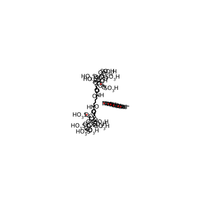 O=C(CCCCC(=O)Nc1ccc(S[C@@H]2O[C@H](COS(=O)(=O)O)[C@@H](O[C@H]3O[C@H](COS(=O)(=O)O)[C@@H](OS(=O)(=O)O)[C@H](OS(=O)(=O)O)[C@H]3OS(=O)(=O)O)[C@H](OS(=O)(=O)O)[C@H]2OS(=O)(=O)O)cc1)Nc1ccc(S[C@@H]2O[C@H](COS(=O)(=O)O)[C@@H](O[C@H]3O[C@H](COS(=O)(=O)O)[C@@H](OS(=O)(=O)O)[C@H](OS(=O)(=O)O)[C@H]3OS(=O)(=O)O)[C@H](OS(=O)(=O)O)[C@H]2OS(=O)(=O)O)cc1.[Na+].[Na+].[Na+].[Na+].[Na+].[Na+].[Na+].[Na+].[Na+].[Na+].[Na+].[Na+].[Na+].[Na+]